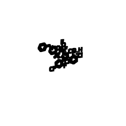 CC(C)(C[C@@H]1N(C(F)(F)C(=O)OF)[C@@H](C(=O)O)[C@H](c2cccc(Cl)c2F)[C@@]1(C#N)c1ccc(Cl)cc1F)C1=CCN(Cc2ccccc2)CC1